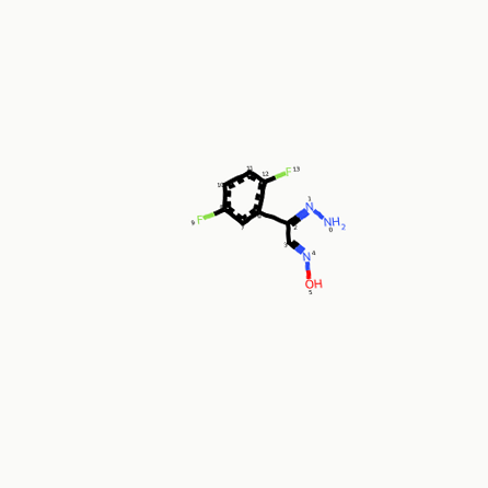 NN=C(C=NO)c1cc(F)ccc1F